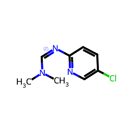 CN(C)/C=N\c1ccc(Cl)cn1